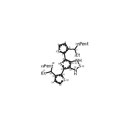 CCCCCC(CC)c1ccsc1-c1sc(-c2sccc2C(CC)CCCCC)c2c1NSN2